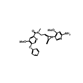 C=C1/C(=C\CN(C)C(=O)c2cc(OC)c(Oc3ccccc3)cn2)N1c1cnc(N)cc1OC